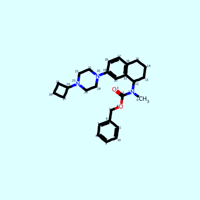 CN(C(=O)OCc1ccccc1)C1CCCc2ccc(N3CCN(C4CCC4)CC3)cc21